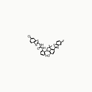 CC1(C)CN(c2ccccc2NC(=O)Nc2nc3ccc(Cl)cc3s2)c2c(O)ccc(-c3nc4cc(F)ccc4s3)c21